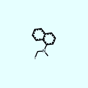 CN(CI)c1cccc2ccccc12